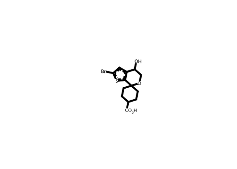 O=C(O)C1CCC2(CC1)OCC(O)c1cc(Br)sc12